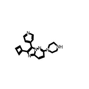 C1=CC(c2nc3ccc(N4CCNCC4)nn3c2-c2ccncc2)=C1